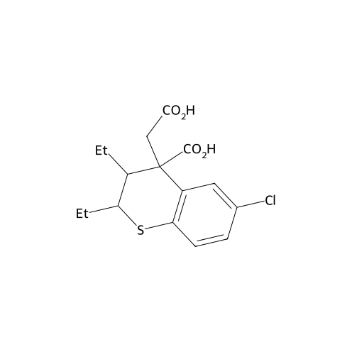 CCC1Sc2ccc(Cl)cc2C(CC(=O)O)(C(=O)O)C1CC